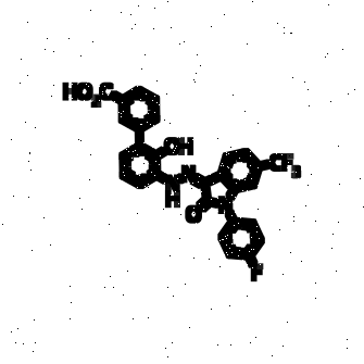 O=C(O)c1cccc(-c2cccc(NN=C3C(=O)N(c4ccc(F)cc4)c4cc(C(F)(F)F)ccc43)c2O)c1